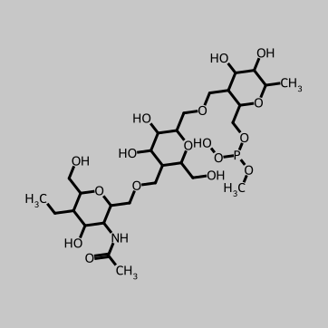 CCC1C(CO)OC(COCC2C(CO)OC(COCC3C(COP(OC)OO)OC(C)C(O)C3O)C(O)C2O)C(NC(C)=O)C1O